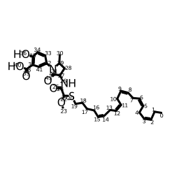 CC/C=C\C/C=C\C/C=C\C/C=C\C/C=C\CCCCSC(OC)C(=O)NC1CC(C)N(c2ccc(O)c(C(=O)O)c2)C1=O